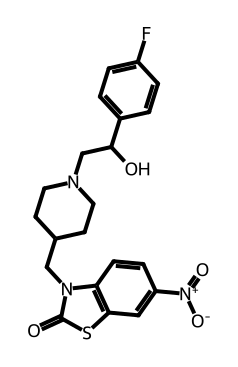 O=c1sc2cc([N+](=O)[O-])ccc2n1CC1CCN(CC(O)c2ccc(F)cc2)CC1